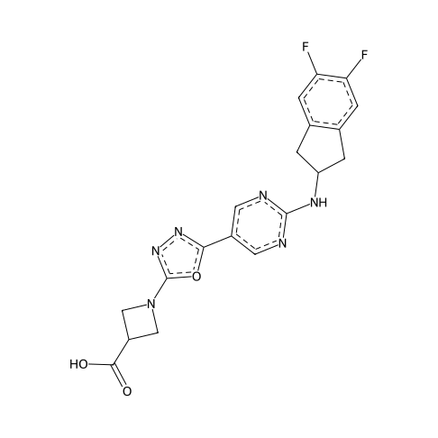 O=C(O)C1CN(c2nnc(-c3cnc(NC4Cc5cc(F)c(F)cc5C4)nc3)o2)C1